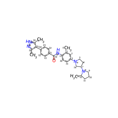 Cc1cc(N2CCC(N3CCCC3C)C2)ccc1NC(=O)c1ccc(-c2c(C)n[nH]c2C)cc1